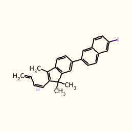 C=C/C=C\C1=C(C)c2ccc(-c3ccc4cc(I)ccc4c3)cc2C1(C)C